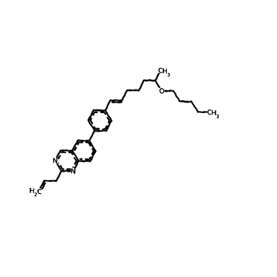 C=CCc1ncc2cc(-c3ccc(C=CCCCC(C)OCCCCC)cc3)ccc2n1